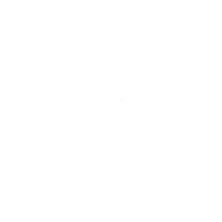 CC(CCNC(=O)OCc1ccccc1)CC12OCC(C)(CO1)CO2